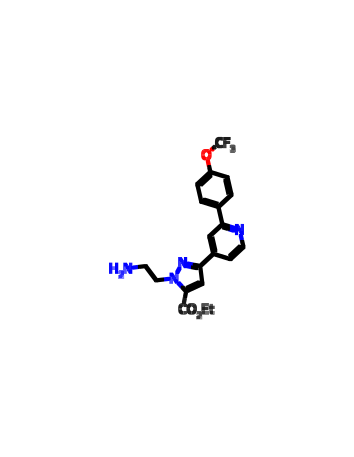 CCOC(=O)c1cc(-c2ccnc(-c3ccc(OC(F)(F)F)cc3)c2)nn1CCN